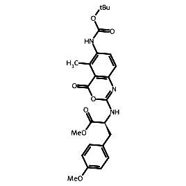 COC(=O)[C@H](Cc1ccc(OC)cc1)Nc1nc2ccc(NC(=O)OC(C)(C)C)c(C)c2c(=O)o1